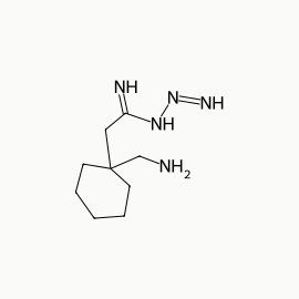 N=NNC(=N)CC1(CN)CCCCC1